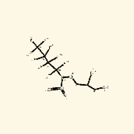 O=[SH](=O)N(OCC(O)CO)C(F)(F)C(F)(F)C(F)(F)C(F)(F)F